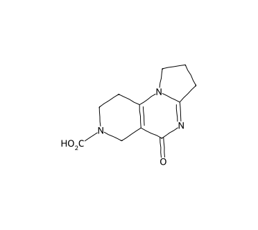 O=C(O)N1CCc2c(c(=O)nc3n2CCC3)C1